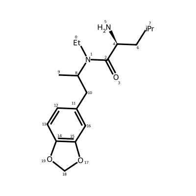 CCN(C(=O)[C@@H](N)CC(C)C)C(C)Cc1ccc2c(c1)OCO2